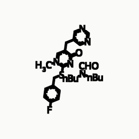 CCCCN(C=O)CCCC.Cn1cc(Cc2cncnc2)c(=O)nc1SCc1ccc(F)cc1